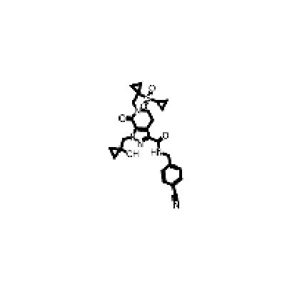 N#Cc1ccc(CNC(=O)c2nn(CC3(O)CC3)c3c2CCN(CC2(S(=O)(=O)C4CC4)CC2)C3=O)cc1